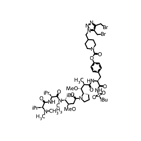 CCC(C)S(=O)(=O)NC(=O)[C@H](Cc1ccc(OC(=O)N2CCC(Cn3nnc(CBr)c3CBr)CC2)cc1)NC(=O)[C@H](C)[C@@H](OC)[C@@H]1CCCN1C(=O)C[C@@H](OC)[C@H]([C@@H](C)CC)N(C)C(=O)[C@@H](NC(=O)[C@H](C(C)C)N(C)C)C(C)C